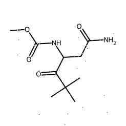 COC(=O)NC(CC(N)=O)C(=O)C(C)(C)C